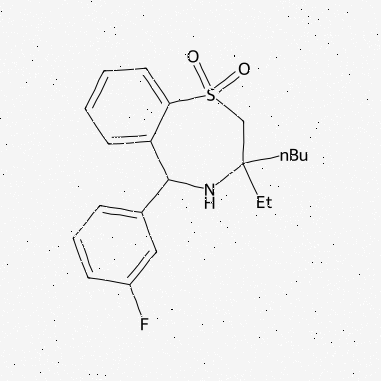 CCCCC1(CC)CS(=O)(=O)c2ccccc2C(c2cccc(F)c2)N1